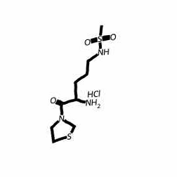 CS(=O)(=O)NCCCC(N)C(=O)N1CCSC1.Cl